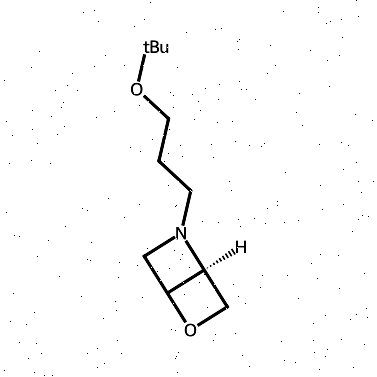 CC(C)(C)OCCCN1CC2OC[C@@H]21